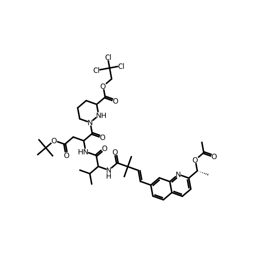 CC(=O)O[C@H](C)c1ccc2ccc(C=CC(C)(C)C(=O)NC(C(=O)NC(CC(=O)OC(C)(C)C)C(=O)N3CCCC(C(=O)OCC(Cl)(Cl)Cl)N3)C(C)C)cc2n1